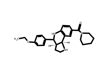 CCOc1ccc(C2Nc3ccc(C(=O)N4CCCCC4)cc3[C@H]3NCC[C@@H]23)cc1